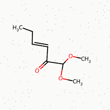 CCC=CC(=O)C(OC)OC